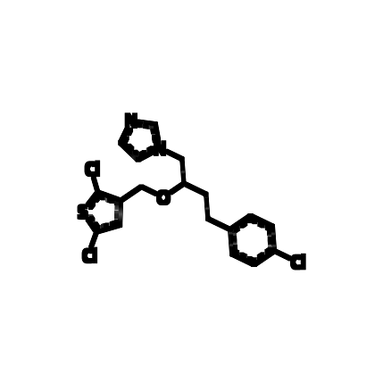 Clc1ccc(CCC(Cn2ccnc2)OCc2cc(Cl)sc2Cl)cc1